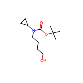 CC(C)(C)OC(=O)N(CCCCO)C1CC1